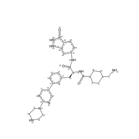 NCC1CCC(C(=O)N[C@@H](Cc2cccc(-c3cnc(N4CCNCC4)nc3)c2)C(=O)Nc2ccc3c(=O)[nH][nH]c3c2)CC1